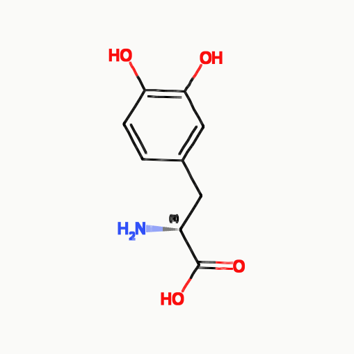 N[C@H](Cc1ccc(O)c(O)c1)C(=O)O